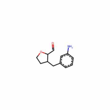 Nc1cccc(CC2CCOC2C=O)c1